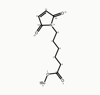 CC(C)(C)OC(=O)CCCCCN1C(=O)C=CC1=O